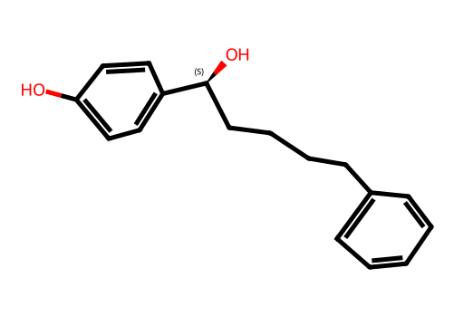 Oc1ccc([C@@H](O)CCCCc2ccccc2)cc1